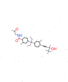 CCC(CC)(c1ccc(C#CC(C)(O)C(C)(C)C)c(C)c1)c1ccc(C(=O)NCC(C)=O)c(C)c1